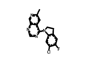 Cc1cc2c(N3CCc4cc(F)c(Cl)cc43)ncnc2cn1